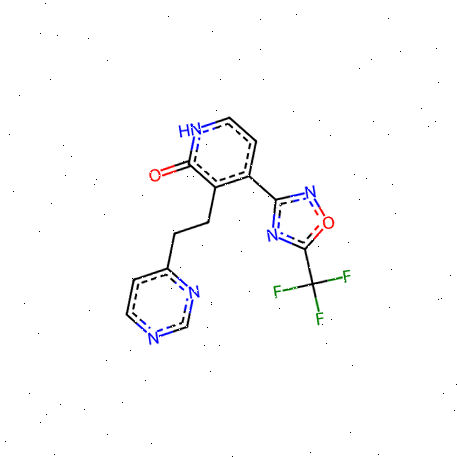 O=c1[nH]ccc(-c2noc(C(F)(F)F)n2)c1CCc1ccncn1